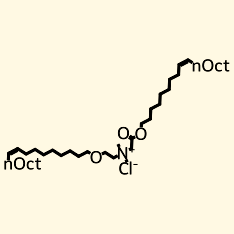 CCCCCCCC/C=C\CCCCCCCCOCC[N+](C)(C)CC(=O)OCCCCCCCC/C=C\CCCCCCCC.[Cl-]